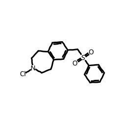 O=S(=O)(Cc1ccc2c(c1)CCN(Cl)CC2)c1ccccc1